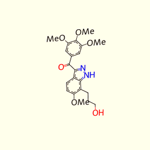 COc1cc(C(=O)c2n[nH]c3c(CCCO)c(OC)ccc23)cc(OC)c1OC